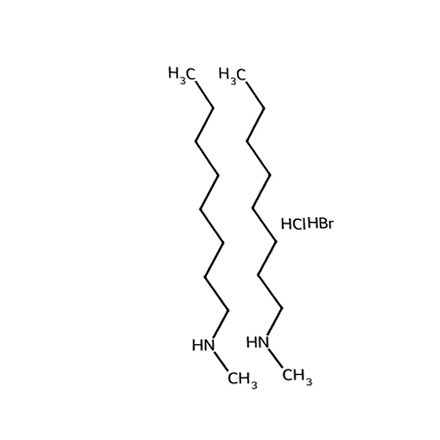 Br.CCCCCCCCNC.CCCCCCCCNC.Cl